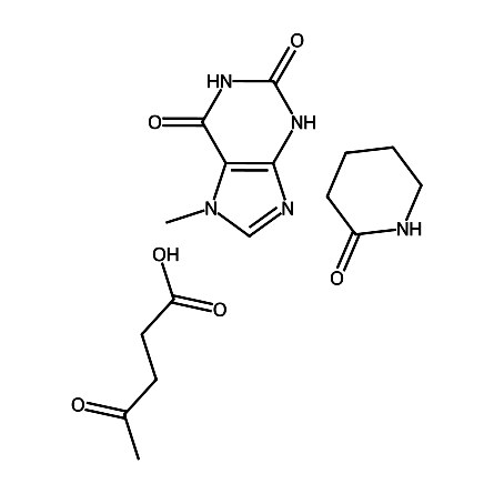 CC(=O)CCC(=O)O.Cn1cnc2[nH]c(=O)[nH]c(=O)c21.O=C1CCCCN1